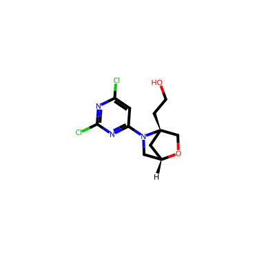 OCC[C@]12CO[C@H](CN1c1cc(Cl)nc(Cl)n1)C2